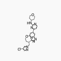 Clc1cnn(CC2CCOc3cc(-c4ccnc(NC5CCOCC5)n4)cc4nnc2n34)c1